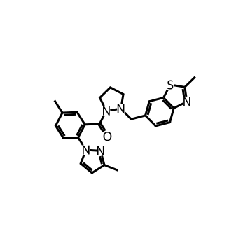 Cc1ccc(-n2ccc(C)n2)c(C(=O)N2CCCN2Cc2ccc3nc(C)sc3c2)c1